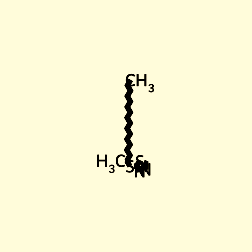 CCCCCCCCCCCCCCCC(C)Sc1nncs1